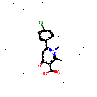 Cc1c(C(=O)O)c(=O)cc(-c2ccc(Cl)cc2)n1C